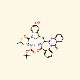 CC(C)C[C@@H](NC(=O)OC(C)(C)C)C(=O)N1CC(CC2NC(=O)c3ccccc3-n3c2nc2ccccc2c3=O)c2ccccc21.O